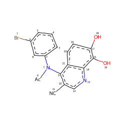 CC(=O)N(c1cccc(Br)c1)c1c(C#N)cnc2c(O)c(O)ccc12